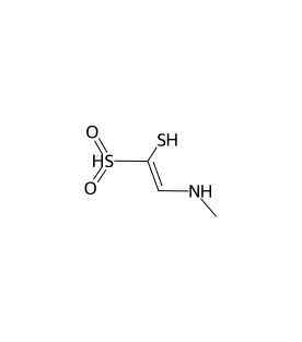 CN/C=C(\S)[SH](=O)=O